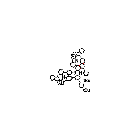 CC(C)(C)c1ccc(-c2cc3c4c(c2)N(c2ccccc2-c2ccccc2)c2cc(-c5cccc(-n6c7ccccc7c7ccccc76)c5-n5c6ccccc6c6ccccc65)ccc2B4c2ccc(-c4cccc(-n5c6ccccc6c6ccccc65)c4-n4c5ccccc5c5ccccc54)cc2S3)c(C(C)(C)C)c1